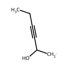 [CH2]C(O)C#CCC